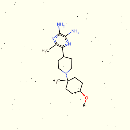 CCO[C@H]1CC[C@](C)(N2CCC(c3nc(N)c(N)nc3C)CC2)CC1